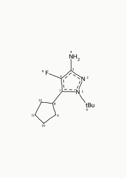 CC(C)(C)n1nc(N)c(F)c1C1CCCC1